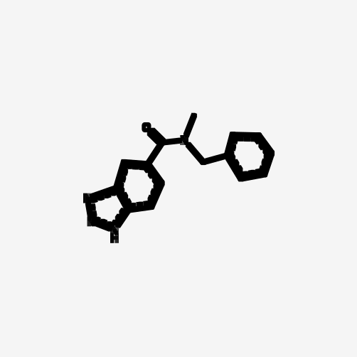 CN(Cc1ccccc1)C(=O)c1ccc2[nH]nnc2c1